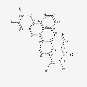 CC(=O)[C@H](C)Cc1ccc2c3ccc4c5c(ccc(c6cccc1c62)c53)C(=O)N(C)C4=O